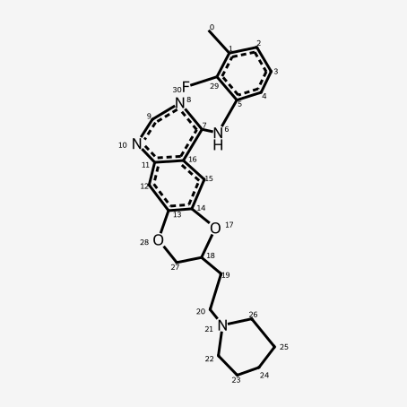 Cc1cccc(Nc2ncnc3cc4c(cc23)OC(CCN2CCCCC2)CO4)c1F